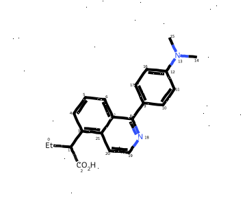 CCC(C(=O)O)c1cccc2c(-c3ccc(N(C)C)cc3)nccc12